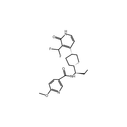 CC[C@@H](NC(=O)c1ccc(OC)nc1)[C@H]1CC[C@@H](c2cc[nH]c(=O)c2C(F)F)CC1